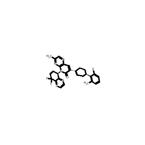 Cc1cnc2cc([C@H]3CC[C@H](c4c(C)cccc4F)CC3)c(=O)n([C@@H]3CCC(F)(F)c4nccnc43)c2n1